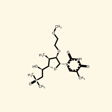 COCCO[C@@H]1[C@H](C)[C@@H]([C@H](O)CP(C)(C)=O)O[C@H]1n1cc(C)c(=O)[nH]c1=O